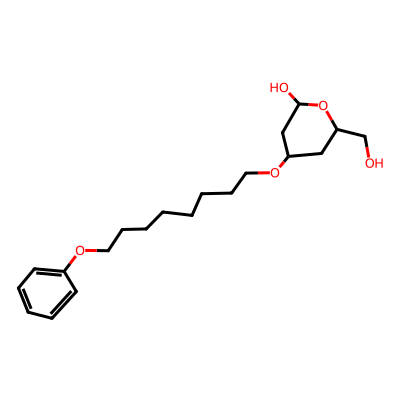 OCC1CC(OCCCCCCCCOc2ccccc2)CC(O)O1